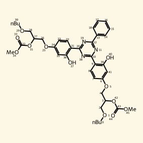 CCCCOCC(COc1ccc(-c2nc(-c3ccccc3)nc(-c3ccc(OCC(COCCCC)OC(=O)OC)cc3O)n2)c(O)c1)OC(=O)OC